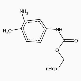 CCCCCCCCOC(=O)Nc1ccc(C)c(N)c1